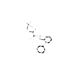 C[C@@H](OC(=O)C(=O)NCc1ccccc1-c1ccccc1)C(C)(C)C